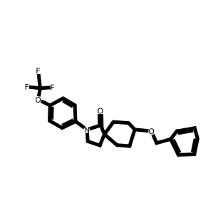 O=C1N(c2ccc(OC(F)(F)F)cc2)CCC12CCC(OCc1ccccc1)CC2